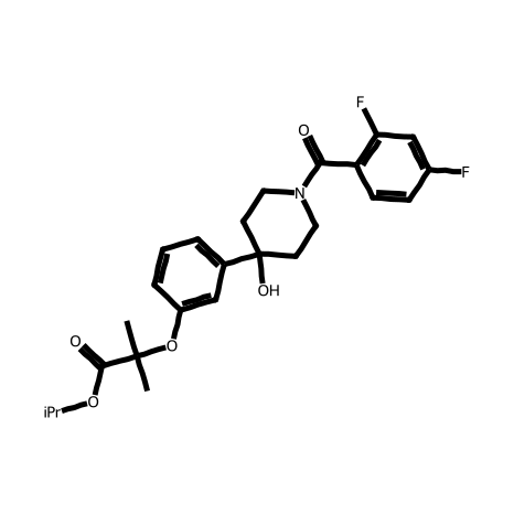 CC(C)OC(=O)C(C)(C)Oc1cccc(C2(O)CCN(C(=O)c3ccc(F)cc3F)CC2)c1